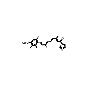 COc1cc(C)c(C=CC(C)=CC=CC(C)=CC(=O)n2ccnc2)c(C)c1C